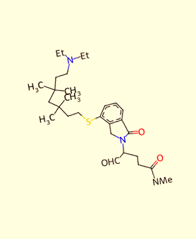 CCN(CC)CCC(C)(C)CC(C)(C)CCSc1cccc2c1CN(C(C=O)CCC(=O)NC)C2=O